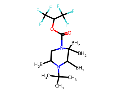 BC1CN(C(=O)OC(C(F)(F)F)C(F)(F)F)C(B)(B)C(B)N1C(C)(C)C